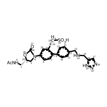 CC(=O)NC[C@H]1CN(c2ccc(-c3ccc(CNCc4cnn[nH]4)cc3)c(F)c2)C(=O)O1.CS(=O)(=O)O